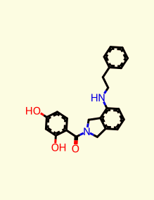 O=C(c1ccc(O)cc1O)N1Cc2cccc(NCCc3ccccc3)c2C1